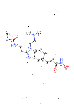 CCN(CC)CCn1c(CCNC(=O)CC(C)(C)C)nc2cc(/C=C/C(=O)NO)ccc21